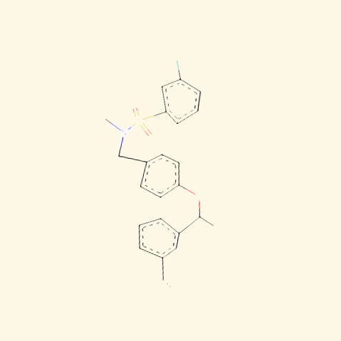 CN(Cc1ccc(OC(C(=O)O)c2cccc(C#N)c2)cc1)S(=O)(=O)c1cccc(F)c1